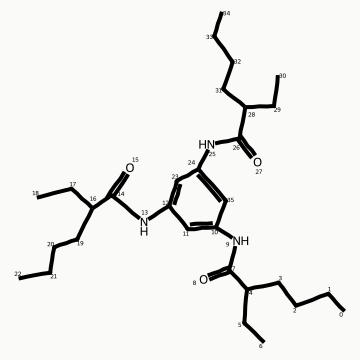 CCCCC(CC)C(=O)Nc1cc(NC(=O)C(CC)CCCC)cc(NC(=O)C(CC)CCCC)c1